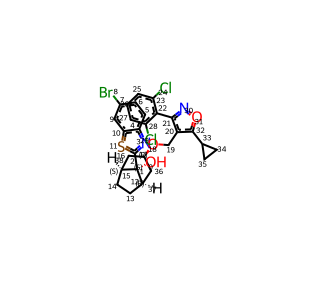 O[C@]1(c2nc3ccc(Br)cc3s2)[C@@H]2CC[C@H]1C[C@@H](OCc1c(-c3c(Cl)cccc3Cl)noc1C1CC1)C2